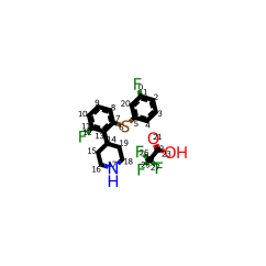 Fc1cccc(Sc2cccc(F)c2C2CCNCC2)c1.O=C(O)C(F)(F)F